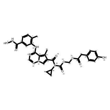 CCCNC(=O)c1ccc(C)c(Nc2ncnn3cc(C(=O)N(C(=O)OCOC(=O)Cc4ccc(O)cc4)C4CC4)c(C)c23)c1